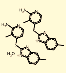 Cc1ccc2[nH]c(Sc3ccnc(N)c3C)nc2c1.Cc1ccc2[nH]c(Sc3ccnc(N)c3C)nc2c1.O